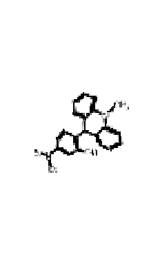 CCN(CC)c1ccc(C2c3ccccc3N(C)c3ccccc32)c(O)c1